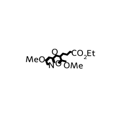 CCOC(=O)CCCC(C(=O)COC)C(=O)c1cncc(OC)c1